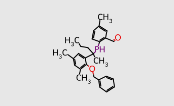 CCCC(C)(Pc1ccc(C)cc1C=O)c1cc(C)cc(C)c1OCc1ccccc1